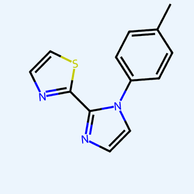 Cc1ccc(-n2ccnc2-c2nccs2)cc1